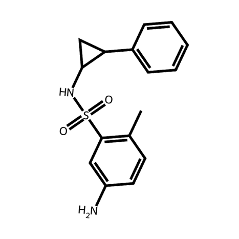 Cc1ccc(N)cc1S(=O)(=O)NC1CC1c1ccccc1